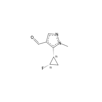 Cn1ncc(C=O)c1[C@@H]1C[C@@H]1F